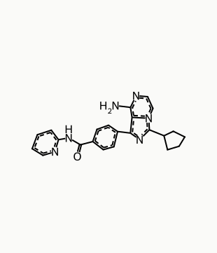 Nc1nccn2c(C3CCCC3)nc(-c3ccc(C(=O)Nc4ccccn4)cc3)c12